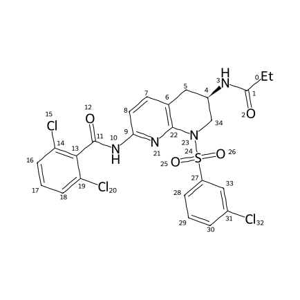 CCC(=O)N[C@@H]1Cc2ccc(NC(=O)c3c(Cl)cccc3Cl)nc2N(S(=O)(=O)c2cccc(Cl)c2)C1